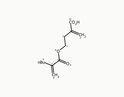 C=C(CCOC(=O)C(=C)CCCC)C(=O)O